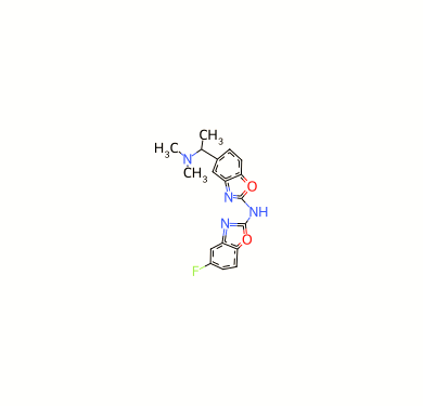 CC(c1ccc2oc(Nc3nc4cc(F)ccc4o3)nc2c1)N(C)C